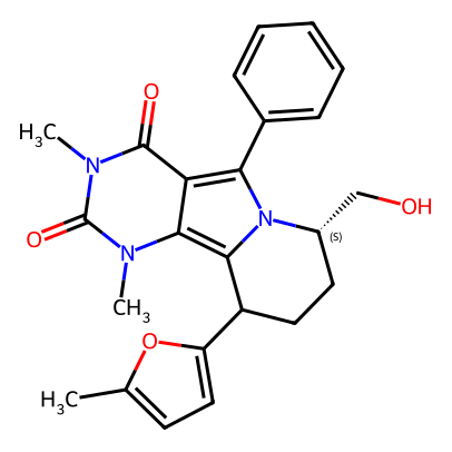 Cc1ccc(C2CC[C@@H](CO)n3c(-c4ccccc4)c4c(=O)n(C)c(=O)n(C)c4c32)o1